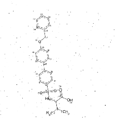 CC(C)C(NS(=O)(=O)c1ccc(-c2ccc(OCc3ccccn3)cc2)cc1)C(=O)O